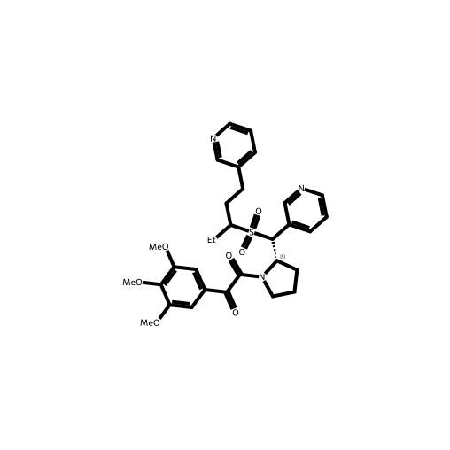 CCC(CCc1cccnc1)S(=O)(=O)C(c1cccnc1)[C@@H]1CCCN1C(=O)C(=O)c1cc(OC)c(OC)c(OC)c1